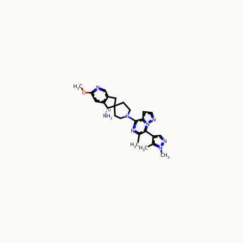 COc1cc2c(cn1)CC1(CCN(c3nc(C)c(-c4cnn(C)c4C)n4nccc34)CC1)[C@@H]2N